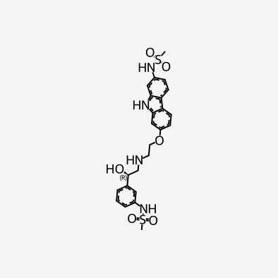 CS(=O)(=O)Nc1cccc([C@@H](O)CNCCOc2ccc3c(c2)[nH]c2cc(NS(C)(=O)=O)ccc23)c1